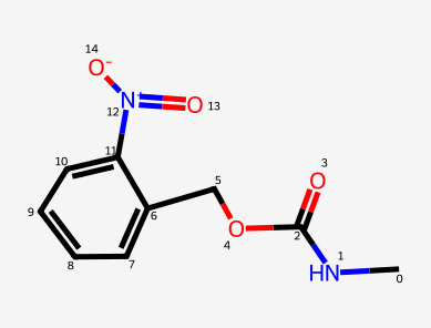 CNC(=O)OCc1ccccc1[N+](=O)[O-]